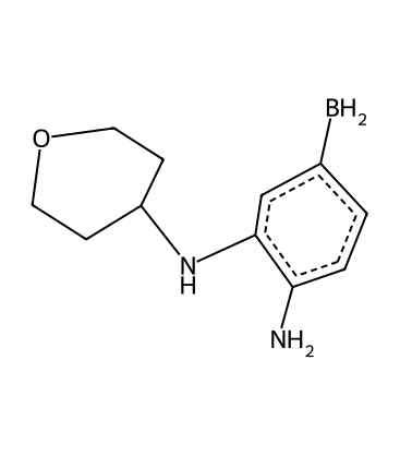 Bc1ccc(N)c(NC2CCOCC2)c1